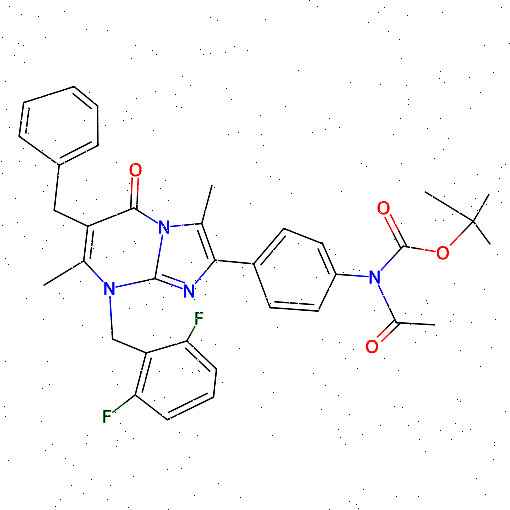 CC(=O)N(C(=O)OC(C)(C)C)c1ccc(-c2nc3n(Cc4c(F)cccc4F)c(C)c(Cc4ccccc4)c(=O)n3c2C)cc1